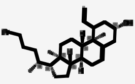 [CH]=CC1C[C@H](O)CC2=CC[C@H]3[C@@H]4CC[C@H]([C@H](C)CCCC(C)C)[C@@]4(C)CC[C@@H]3[C@]21C